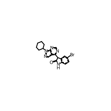 O=C1Nc2ccc(Br)cc2C1c1ncnc2c1cnn2C1CCCCC1